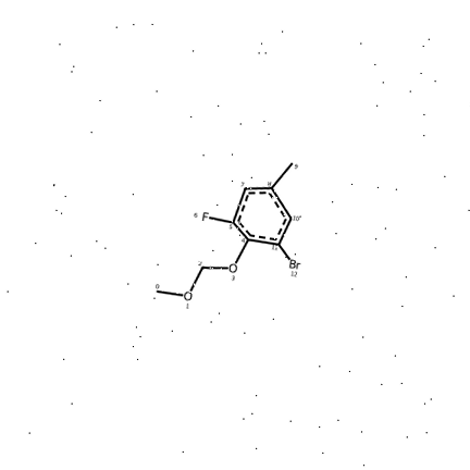 COCOc1c(F)cc(C)cc1Br